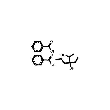 CCCC(O)(CC)C(C)O.O=C(O)c1ccccc1.O=C(O)c1ccccc1